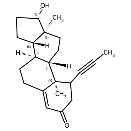 CC#CC1CC(=O)C=C2CC[C@H]3[C@@H]4CC[C@H](O)[C@@]4(C)CC[C@@H]3[C@]21C